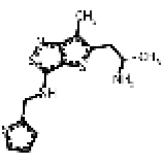 Cc1c(C[C@H](C)N)sc2c(NCc3cccs3)snc12